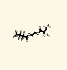 CCC(C)C(=O)OCCOC(=O)C(F)(F)C(F)(F)C(F)F